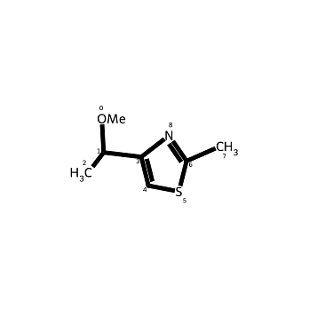 COC(C)c1csc(C)n1